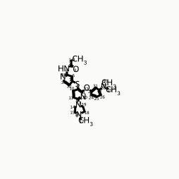 CCC(=O)Nc1cc(Sc2ccc(N3CCN(C)CC3)nc2Oc2cccc(N(C)C)c2)ccn1